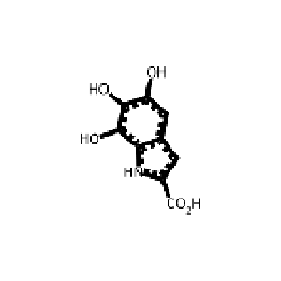 O=C(O)c1cc2cc(O)c(O)c(O)c2[nH]1